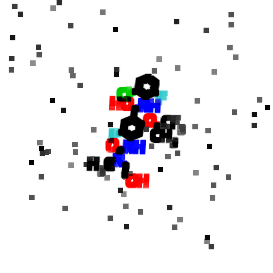 C[C@H](Oc1cc(NC(=O)N(C)CCO)c(F)cc1C(O)Nc1c(F)cccc1Cl)C(F)(F)F